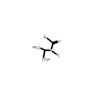 CCC(=O)N(CC)C(C(=O)O)C(=O)O